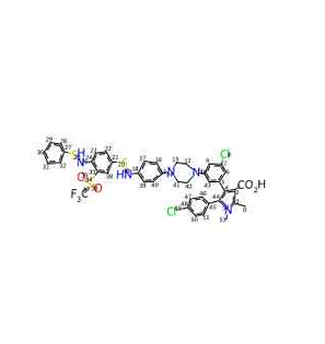 Cc1c(C(=O)O)c(-c2cc(Cl)cc(N3CCN(c4ccc(NSc5ccc(NSc6ccccc6)c(S(=O)(=O)C(F)(F)F)c5)cc4)CC3)c2)c(-c2ccc(Cl)cc2)n1C